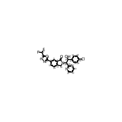 O=C1c2cc(-c3nnc(C(F)F)o3)ccc2CN1C(c1ncccn1)C(O)c1ccc(Cl)cc1